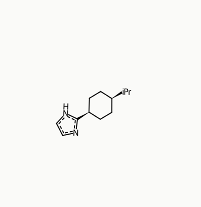 CC(C)[C@H]1CC[C@@H](c2ncc[nH]2)CC1